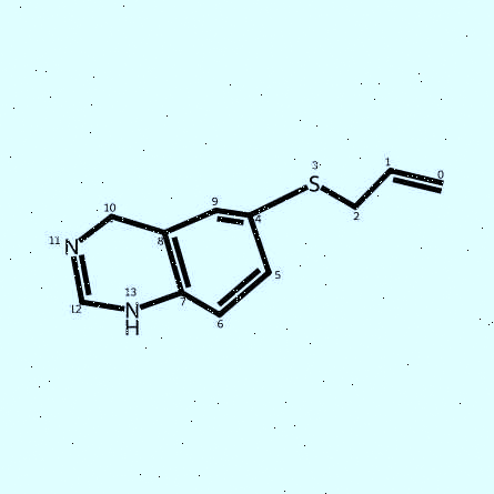 C=CCSc1ccc2c(c1)[CH]N=CN2